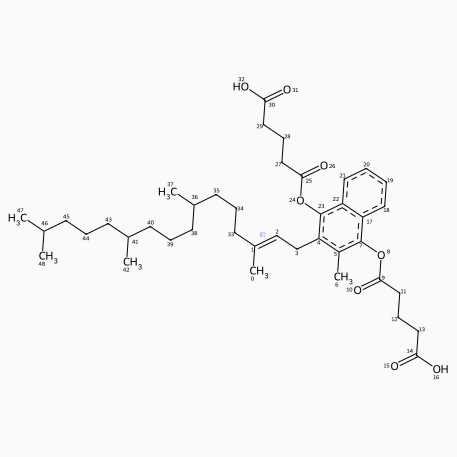 C/C(=C\Cc1c(C)c(OC(=O)CCCC(=O)O)c2ccccc2c1OC(=O)CCCC(=O)O)CCCC(C)CCCC(C)CCCC(C)C